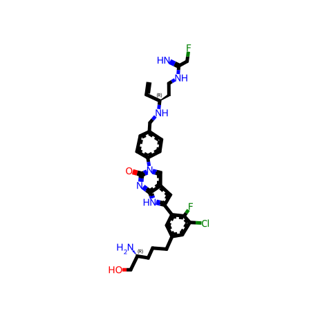 C=C[C@@H](CCNC(=N)CF)NCc1ccc(-n2cc3cc(-c4cc(CCC[C@@H](N)CO)cc(Cl)c4F)[nH]c3nc2=O)cc1